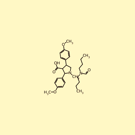 CCCCN(C=O)CCCC.COc1ccc(C2CN(C)C(c3ccc(OC)cc3)C2C(=O)O)cc1